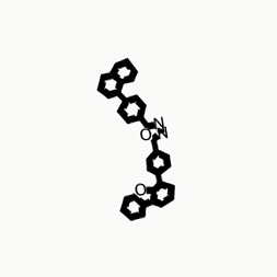 c1ccc2c(-c3ccc(-c4nnc(-c5ccc(-c6cccc7c6oc6ccccc67)cc5)o4)cc3)cccc2c1